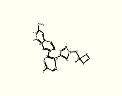 COc1cc2ccc(-c3nc(C)ccc3-c3cnn(CC4(C)CCC4)c3)cc2nn1